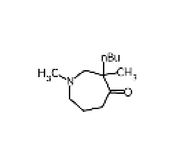 CCCCC1(C)CN(C)CCCC1=O